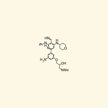 CNCC(O)COc1cc(N)cc(-c2cc(NC3CCOCC3)c(C=N)c(NC(C)C)n2)c1